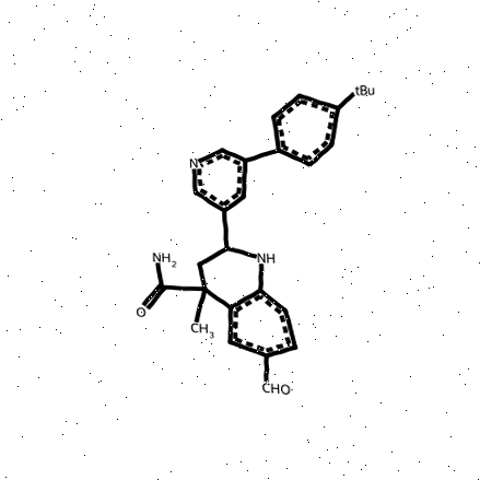 CC(C)(C)c1ccc(-c2cncc(C3CC(C)(C(N)=O)c4cc([C]=O)ccc4N3)c2)cc1